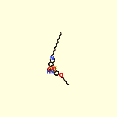 CCCCCCCCCCCCCN1CCc2cc(S(=O)(=O)Nc3ccc(OCCCCCC)cc3F)ccc2C1